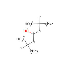 CCCCCCC(C)(CC(O)CC(C)(CCCCCC)C(=O)O)C(=O)O